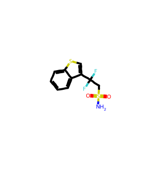 NS(=O)(=O)CC(F)(F)c1csc2ccccc12